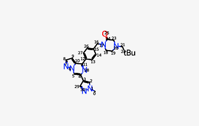 Cn1cc(-c2cn3nccc3c(-c3ccc(CN4CCN(CC(C)(C)C)CC4=O)cc3)n2)cn1